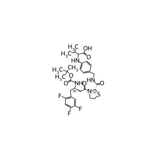 CC(C)C(Nc1ccc(CNC(=O)[C@@H]2SCCN2C(=O)C[C@@H](Cc2cc(F)c(F)cc2F)NC(=O)OC(C)(C)C)cc1)C(=O)O